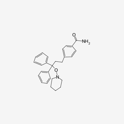 NC(=O)c1ccc(CCC(ON2CCCCC2)(c2ccccc2)c2ccccc2)cc1